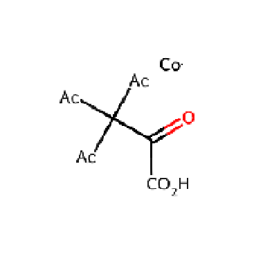 CC(=O)C(C(C)=O)(C(C)=O)C(=O)C(=O)O.[Co]